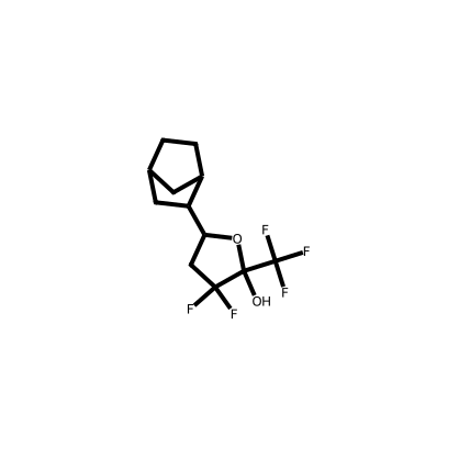 OC1(C(F)(F)F)OC(C2CC3CCC2C3)CC1(F)F